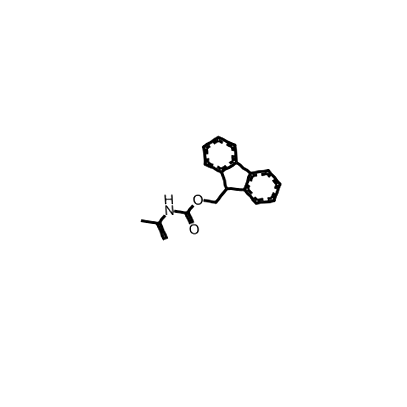 C=C(C)NC(=O)OCC1c2ccccc2-c2ccccc21